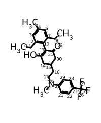 CCc1cc(C)cc(CC)c1C1=C(O)CC(CCN(C)c2ccc(C(F)(F)F)cc2)CC1=O